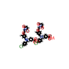 Cc1cc(CN(C[C@H]2CC[C@@H](C(=O)O)CC2)[C@@H](C)c2ccc(Cl)cc2)ccc1OCCN1C(=O)CCC1=O.Cc1cc(CN(C[C@H]2CC[C@H](C(=O)O)CC2)[C@@H](C)c2ccc(Cl)cc2)ccc1OCCN1C(=O)CCC1=O